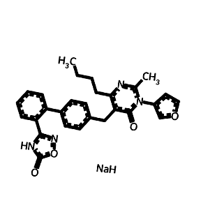 CCCCc1nc(C)n(-c2ccoc2)c(=O)c1Cc1ccc(-c2ccccc2-c2noc(=O)[nH]2)cc1.[NaH]